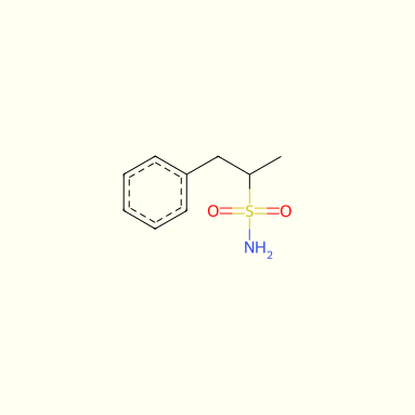 CC(Cc1ccccc1)S(N)(=O)=O